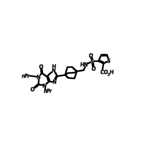 CCCn1c(=O)c2[nH]c(C34CCC(CNS(=O)(=O)c5ccsc5C(=O)O)(CC3)CC4)nc2n(CCC)c1=O